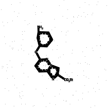 CCOC(=O)c1cn2nc(Oc3cccc(N)c3)ccc2n1